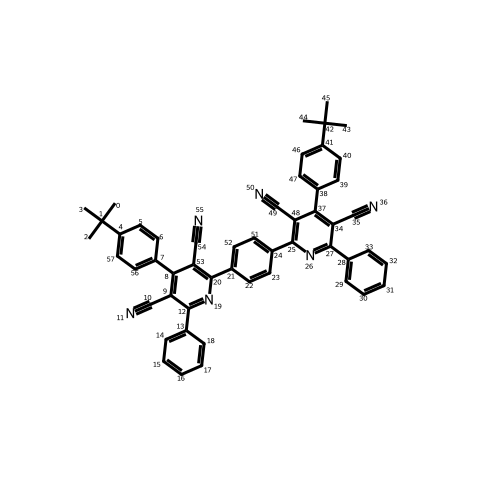 CC(C)(C)c1ccc(-c2c(C#N)c(-c3ccccc3)nc(-c3ccc(-c4nc(-c5ccccc5)c(C#N)c(-c5ccc(C(C)(C)C)cc5)c4C#N)cc3)c2C#N)cc1